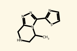 CC1CNCc2nnc(-c3nccs3)n21